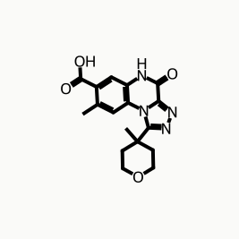 Cc1cc2c(cc1C(=O)O)[nH]c(=O)c1nnc(C3(C)CCOCC3)n12